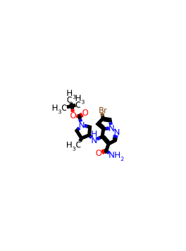 CC1CN(C(=O)OC(C)(C)C)CC1Nc1c(C(N)=O)cnn2cc(Br)cc12